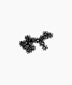 c1ccc(-c2ccc(N(c3ccc(-c4ccc5c(c4)c4cc(-c6cc7ccccc7c7ccccc67)ccc4n5-c4ccccc4-c4ccc5c6ccccc6c6ccccc6c5c4)cc3)c3ccc(-c4cccc5c4sc4ccccc45)cc3)cc2)cc1